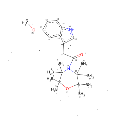 BC1(B)OC(B)(B)C(B)(B)N(C(=O)Cc2c[nH]c3ccc(OC)cc23)C1(B)B